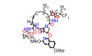 COc1ccc2c(O[C@@H]3C[C@H]4C(=O)N[C@]5(C(=O)NS(=O)(=O)C6(C)CC6)C[C@H]5/C=C\CC[C@@H](C)C[C@@H](C)[C@H](NC(=O)OC(C)(C)C(F)(F)F)C(=O)N4C3)nc(OC)cc2c1